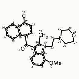 COc1cccc2c(C(=O)c3ccc(Cl)c4ccccc34)c(C)n(CCN3CCOCC3)c12